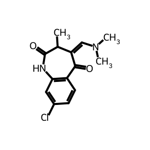 CC1C(=O)Nc2cc(Cl)ccc2C(=O)/C1=C\N(C)C